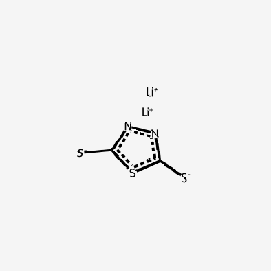 [Li+].[Li+].[S-]c1nnc([S-])s1